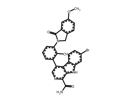 COc1ccc2c(c1)C(=O)N(c1cccc(-c3cnc(C(N)=O)c4[nH]c5cc(Br)ccc5c34)c1C)C2